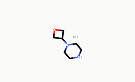 C1CN(C2COC2)CCN1.Cl